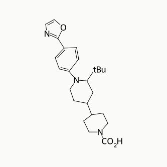 CC(C)(C)C1CC(C2CCN(C(=O)O)CC2)CCN1c1ccc(-c2ncco2)cc1